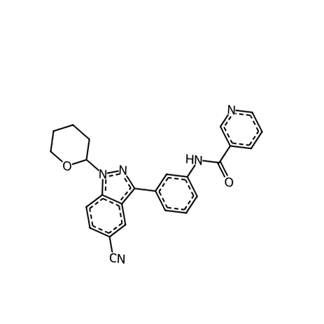 N#Cc1ccc2c(c1)c(-c1cccc(NC(=O)c3cccnc3)c1)nn2C1CCCCO1